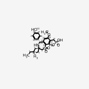 CCCC[C@]1(CC)CS(=O)(=O)c2cc(CP(=O)(O)O)c(OC)cc2[C@@H](c2ccccc2)N1.Cl